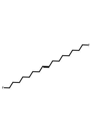 FCCCCCCCC=CCCCCCCCF